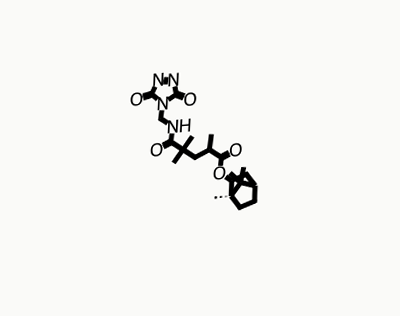 CC(CC(C)(C)C(=O)NCN1C(=O)N=NC1=O)C(=O)OC1CC2CC[C@]1(C)C2(C)C